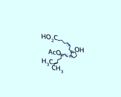 CC(=O)O[C@H](/C=C/[C@H]1CCC(O)[C@@H]1C/C=C\CCCC(=O)O)CCC=C(C)C